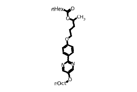 CCCCCCCCOc1cnc(-c2ccc(OCCCC(C)OC(=O)CCCCCC)cc2)nc1